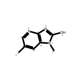 Cn1c(O)nc2ncc(I)cc21